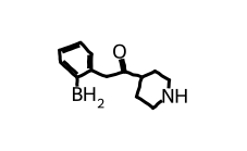 Bc1ccccc1CC(=O)C1CCNCC1